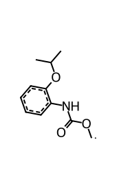 [CH2]OC(=O)Nc1ccccc1OC(C)C